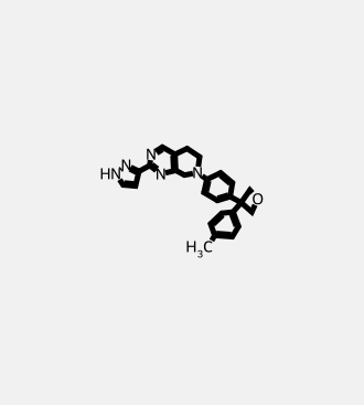 Cc1ccc(C2(c3ccc(N4CCc5cnc(-c6cc[nH]n6)nc5C4)cc3)COC2)cc1